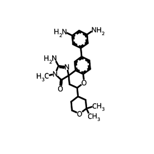 CN1C(=O)C2(CC(C3CCOC(C)(C)C3)Oc3ccc(-c4cc(N)cc(N)c4)cc32)N=C1N